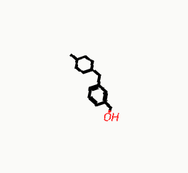 CC1CCC(Cc2cccc(CO)c2)CC1